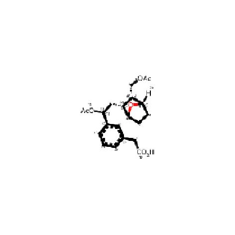 CC(=O)OC[C@@H]1[C@@H]2CCC(O2)[C@@H]1C[C@H](OC(C)=O)c1cccc(CC(=O)O)c1